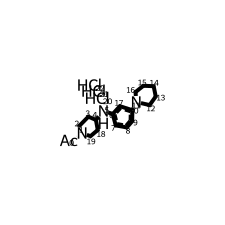 CC(=O)N1CCC(Nc2cccc(N3CCCCC3)c2)CC1.Cl.Cl.Cl